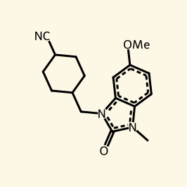 COc1ccc2c(c1)n(CC1CCC(C#N)CC1)c(=O)n2C